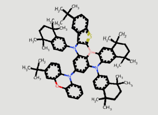 CC(C)(C)c1ccc2c(c1)Oc1ccccc1N2c1cc2c3c(c1)N(c1ccc4c(c1)C(C)(C)CCC4(C)C)c1c(sc4ccc(C(C)(C)C)cc14)B3c1cc3c(cc1N2c1ccc2c(c1)C(C)(C)CCC2(C)C)C(C)(C)CCC3(C)C